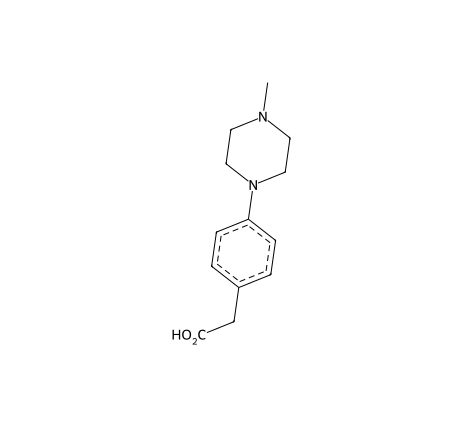 CN1CCN(c2ccc(CC(=O)O)cc2)CC1